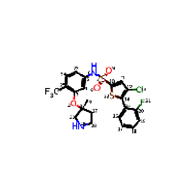 C[C@@]1(Oc2cc(NS(=O)(=O)c3cc(Cl)c(-c4ccccc4F)s3)ccc2C(F)(F)F)CCNC1